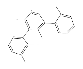 Cc1[c]cc(-c2ccccc2C)c(C)c1-c1cccc(C)c1C